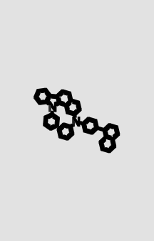 c1ccc(N(c2ccc(-c3cccc4ccccc34)cc2)c2ccc3ccc4c5ccccc5n(-c5ccccc5)c4c3c2)cc1